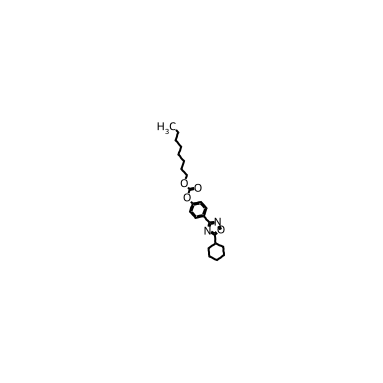 CCCCCCCCOC(=O)Oc1ccc(-c2noc(C3CCCCC3)n2)cc1